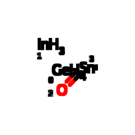 [GeH4].[InH3].[O]=[Sn]